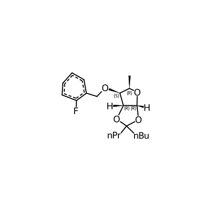 CCCCC1(CCC)O[C@H]2O[C@H](C)[C@H](OCc3ccccc3F)[C@H]2O1